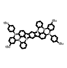 CC(C)(C)c1ccc(N2c3ccc(C(C)(C)C)cc3B3c4ccccc4-n4c5cc6c7ccc8c9c7n(c6cc5c5ccc2c3c54)-c2ccccc2B9c2cc(C(C)(C)C)ccc2N8c2ccc(C(C)(C)C)cc2)cc1